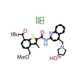 COCc1ccc(C(=O)C(C)(C)C)c2sc(C(=O)Nc3cc(CN4CC[C@@H](O)C4)c4ccccc4n3)c(C)c12.Cl.Cl